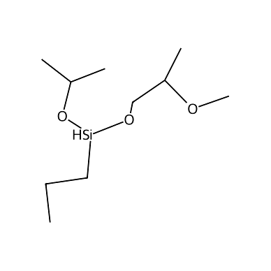 CCC[SiH](OCC(C)OC)OC(C)C